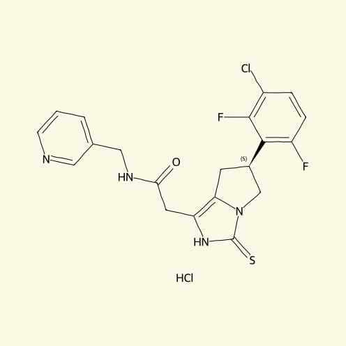 Cl.O=C(Cc1[nH]c(=S)n2c1C[C@@H](c1c(F)ccc(Cl)c1F)C2)NCc1cccnc1